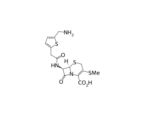 CSC1=C(C(=O)O)N2C(=O)[C@@H](NC(=O)Cc3ccc(CN)s3)[C@H]2SC1